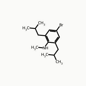 CNc1c(CC(C)C)cc(Br)cc1CC(C)C